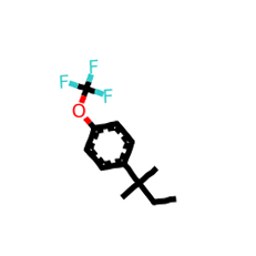 CCC(C)(C)c1ccc(OC(F)(F)F)cc1